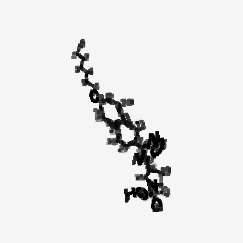 CCCCCCCOc1ccc2cc(-c3noc(C4CCN(C(=O)O)C4)n3)ccc2c1